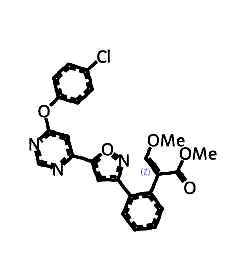 CO/C=C(\C(=O)OC)c1ccccc1-c1cc(-c2cc(Oc3ccc(Cl)cc3)ncn2)on1